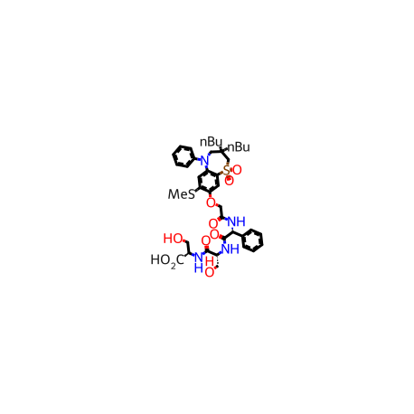 CCCCC1(CCCC)CN(c2ccccc2)c2cc(SC)c(OCC(=O)N[C@@H](C(=O)N[C@H](CO)C(=O)N[C@H](CO)C(=O)O)c3ccccc3)cc2S(=O)(=O)C1